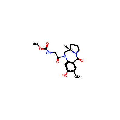 COc1cc2c(cc1O)N(C(=O)CNC(=O)OC(C)(C)C)C[C@@H]1CCCN1C2=O